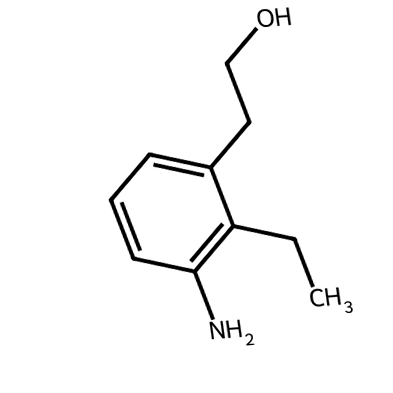 CCc1c(N)cccc1CCO